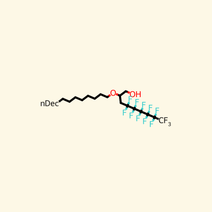 CCCCCCCCCCCCCCCCCCOC(CO)CC(F)(F)C(F)(F)C(F)(F)C(F)(F)C(F)(F)C(F)(F)F